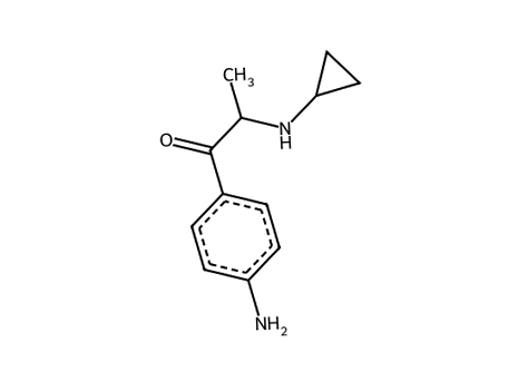 CC(NC1CC1)C(=O)c1ccc(N)cc1